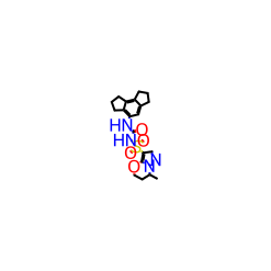 CC1CCOc2c(S(=O)(=O)NC(=O)Nc3cc4c(c5c3CCC5)CCC4)cnn21